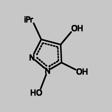 CC(C)c1nn(O)c(O)c1O